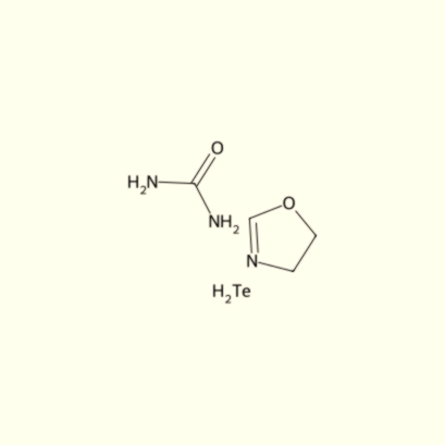 C1=NCCO1.NC(N)=O.[TeH2]